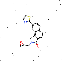 O=C1c2ccc3ccc(-c4nccs4)cc3c2CN1CC1CO1